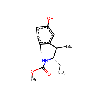 Cc1ccc(O)cc1C([C@H](CC(=O)O)NC(=O)OC(C)(C)C)C(C)(C)C